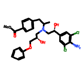 COC(=O)c1ccc(CC(C)N(C[C@H](O)COc2ccccc2)C[C@H](O)c2cc(Cl)c(N)c(Cl)c2)cc1